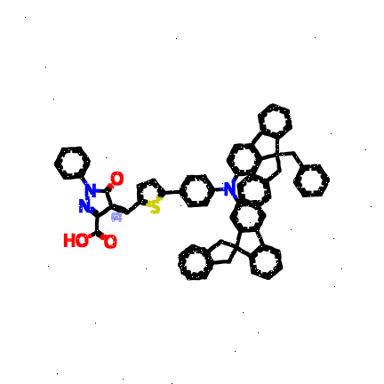 O=C(O)C1=NN(c2ccccc2)C(=O)/C1=C\c1ccc(-c2ccc(N(c3ccc4c(c3)C(Cc3ccccc3)(Cc3ccccc3)c3ccccc3-4)c3ccc4c(c3)C(Cc3ccccc3)(Cc3ccccc3)c3ccccc3-4)cc2)s1